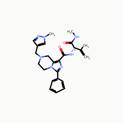 C=C(C)[C@H](NC(=O)c1nc(-c2ccccc2)n2c1CN(Cc1cnn(C)c1)CC2)C(=O)NC